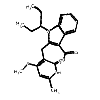 CCC(CC)n1c(Cc2c(SC)cc(C)[nH]c2=O)c(C(N)=O)c2ccccc21